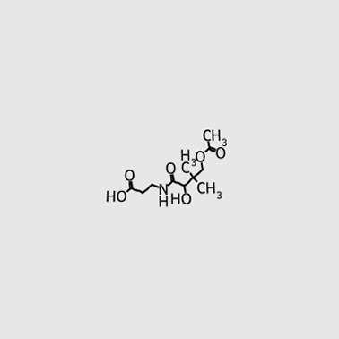 CC(=O)OCC(C)(C)C(O)C(=O)NCCC(=O)O